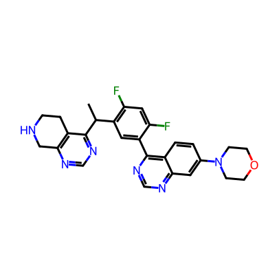 CC(c1cc(-c2ncnc3cc(N4CCOCC4)ccc23)c(F)cc1F)c1ncnc2c1CCNC2